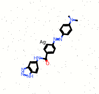 CN(C)c1ccc(/N=N/c2ccc(C(=O)Nc3ccc4[nH]nnc4c3)cc2)cc1.[Ag]